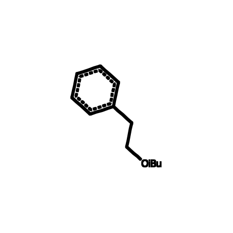 [CH2]C(C)COCCc1ccccc1